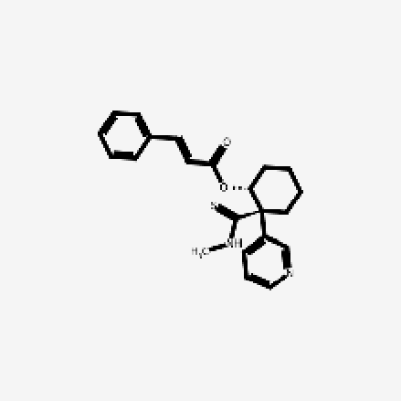 CNC(=S)[C@]1(c2cccnc2)CCCC[C@H]1OC(=O)C=Cc1ccccc1